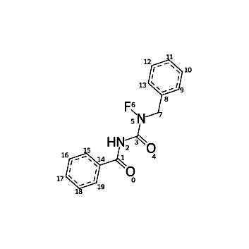 O=C(NC(=O)N(F)Cc1ccccc1)c1ccccc1